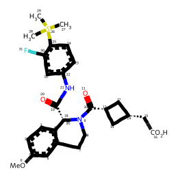 COc1ccc2c(c1)CCN(C(=O)[C@H]1C[C@@H](CC(=O)O)C1)[C@H]2C(=O)Nc1ccc(S(C)(C)C)c(F)c1